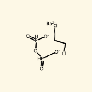 ClCCCl.O=[PH]([O-])O[PH](=O)[O-].[Ba+2]